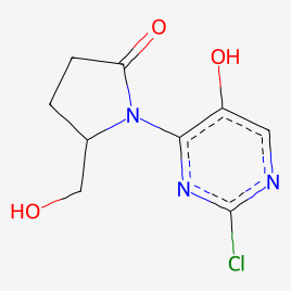 O=C1CCC(CO)N1c1nc(Cl)ncc1O